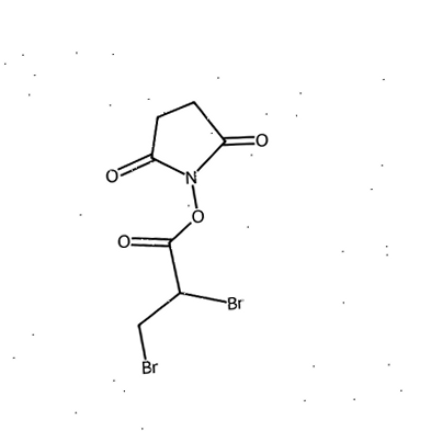 O=C(ON1C(=O)CCC1=O)C(Br)CBr